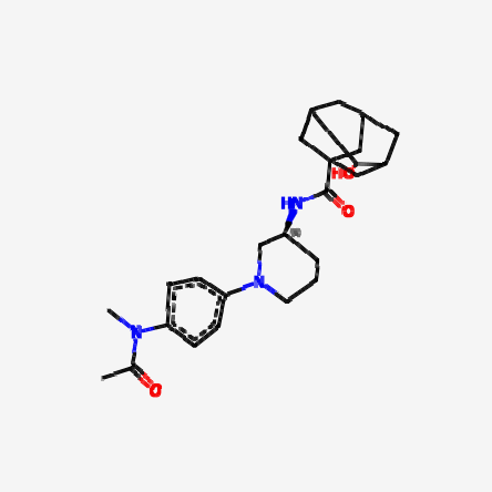 CC(=O)N(C)c1ccc(N2CCC[C@H](NC(=O)C34CC5CC(C3)C(O)C(C5)C4)C2)cc1